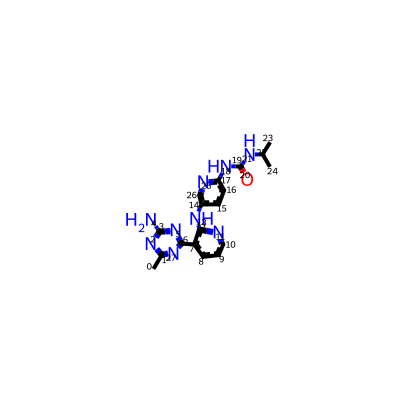 Cc1nc(N)nc(-c2cccnc2Nc2ccc(NC(=O)NC(C)C)nc2)n1